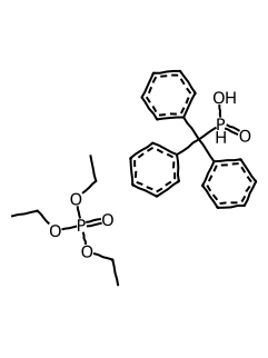 CCOP(=O)(OCC)OCC.O=[PH](O)C(c1ccccc1)(c1ccccc1)c1ccccc1